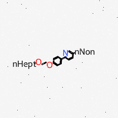 CCCCCCCCCc1ccc(-c2ccc(OCCOCCCCCCC)cc2)nc1